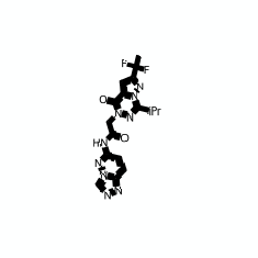 CC(C)c1nn(CC(=O)Nc2ccc3nncn3n2)c(=O)c2cc(C(C)(F)F)nn12